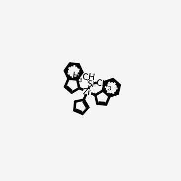 C[SiH](C)[Zr]([C]1=CC=CC1)([CH]1C=Cc2ccccc21)[CH]1C=Cc2ccccc21